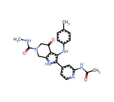 CNC(=O)N1CC(=O)c2c([nH]c(-c3ccnc(NC(C)=O)c3)c2Nc2ccc(C)cc2)C1